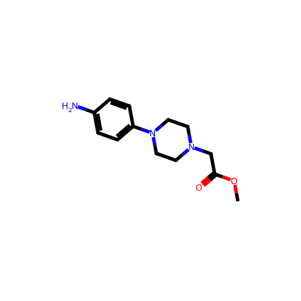 COC(=O)CN1CCN(c2ccc(N)cc2)CC1